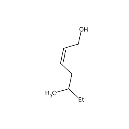 CCC(C)C/C=C\CO